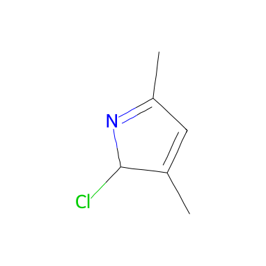 CC1=CC(C)=NC1Cl